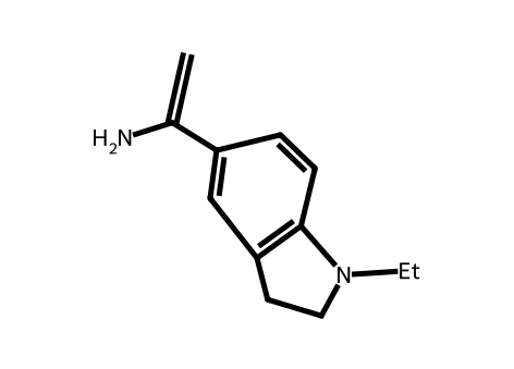 C=C(N)c1ccc2c(c1)CCN2CC